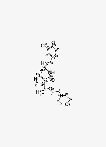 CC(OCCN1CCOCC1)n1cnc2nc(NCc3ccc(Cl)c(Cl)c3)[nH]c(=O)c21